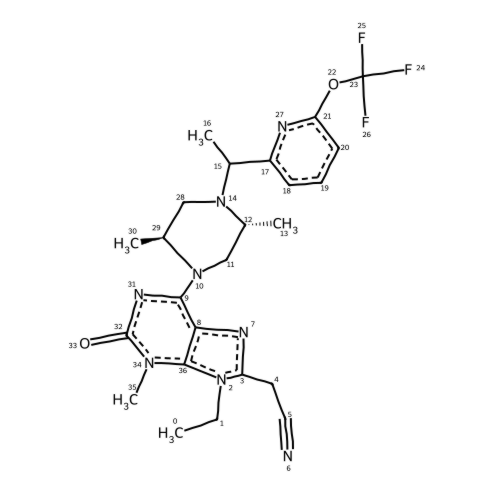 CCn1c(CC#N)nc2c(N3C[C@@H](C)N(C(C)c4cccc(OC(F)(F)F)n4)C[C@@H]3C)nc(=O)n(C)c21